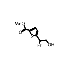 CCC(CO)c1ccc(C(=O)OC)s1